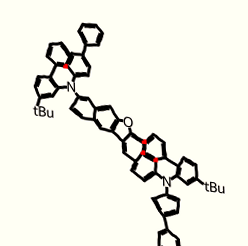 CC(C)(C)c1ccc(-c2ccccc2)c(N(c2ccc(-c3ccccc3)cc2)c2ccc3cc4c(cc3c2)oc2cc3cc(N(c5ccc(-c6ccccc6)cc5)c5cc(C(C)(C)C)ccc5-c5ccccc5)ccc3cc24)c1